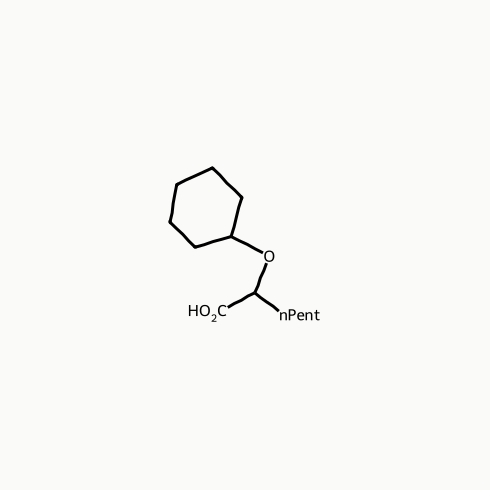 CCCCCC(OC1CCCCC1)C(=O)O